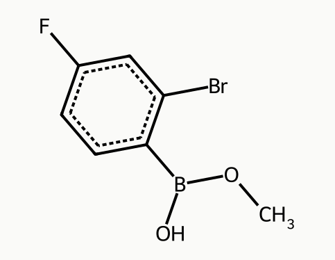 COB(O)c1ccc(F)cc1Br